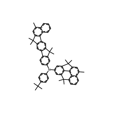 Cc1cc2c(c3ccccc13)-c1cc3c(cc1C2(C)C)-c1ccc(N(c2ccc(C(C)(C)C)cc2)c2cc4c5c(c2)C(C)(C)c2cccc6c(C)cc(c-5c26)C4(C)C)cc1C3(C)C